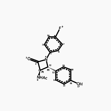 CC(=O)N[C@H]1C(=O)N(c2ccc(F)cc2)[C@@H]1c1ccc(O)cc1